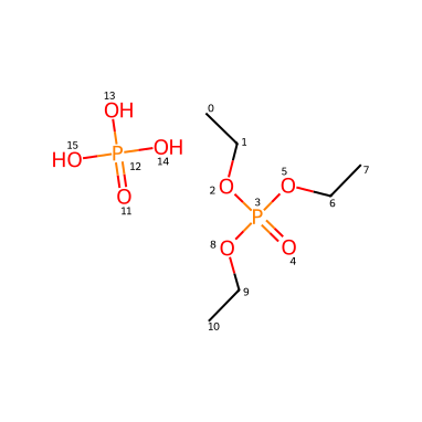 CCOP(=O)(OCC)OCC.O=P(O)(O)O